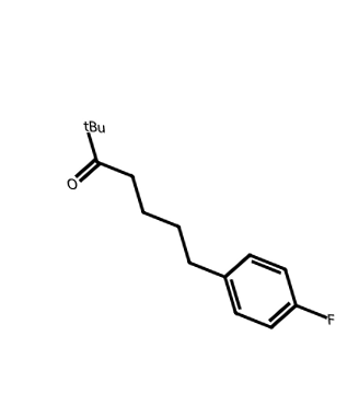 CC(C)(C)C(=O)CCCCc1ccc(F)cc1